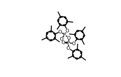 Cc1cc(C)c(OP(=O)(Oc2c(C)cc(C)cc2C)OP(=O)(Oc2c(C)cc(C)cc2C)Oc2c(C)cc(C)cc2C)c(C)c1